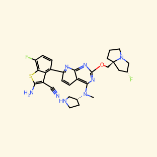 CN(c1nc(OC[C@@]23CCCN2C[C@H](F)C3)nc2nc(-c3ccc(F)c4sc(N)c(C#N)c34)ccc12)[C@@H]1CCNC1